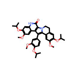 COc1cc(-c2c3n(c4c(=O)[nH]c5cc(OC(C)C)c(OC)cc5c24)CCc2cc(OC(C)C)c(OC)cc2-3)ccc1OC(C)C